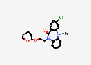 [CH2]CCN1c2cc(Cl)ccc2C(=O)N(CCOC2CCCCO2)c2ccccc21